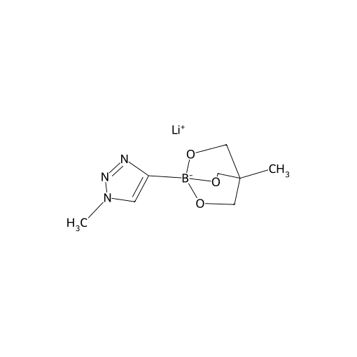 Cn1cc([B-]23OCC(C)(CO2)CO3)nn1.[Li+]